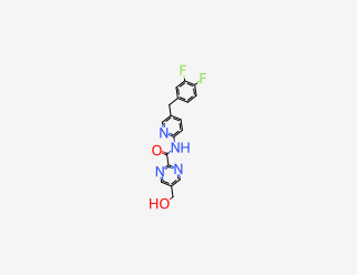 O=C(Nc1ccc(Cc2ccc(F)c(F)c2)cn1)c1ncc(CO)cn1